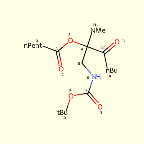 CCCCCC(=O)OC(CNC(=O)OC(C)(C)C)(NC)C(=O)CCCC